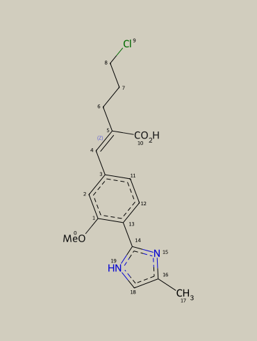 COc1cc(/C=C(/CCCCl)C(=O)O)ccc1-c1nc(C)c[nH]1